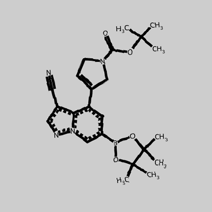 CC(C)(C)OC(=O)N1CC=C(c2cc(B3OC(C)(C)C(C)(C)O3)cn3ncc(C#N)c23)C1